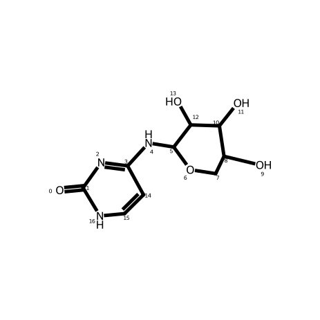 O=c1nc(NC2OCC(O)C(O)C2O)cc[nH]1